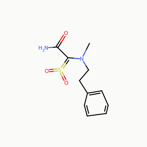 CN(CCc1ccccc1)C(C(N)=O)=S(=O)=O